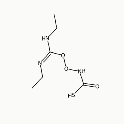 CC/N=C(/NCC)OONC(=O)S